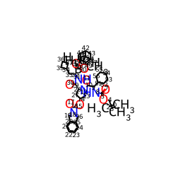 CC(C)(C)COC(=O)N[C@H](C(=O)N1C[C@H](OC(=O)N2Cc3ccccc3C2)C[C@H]1C(=O)N[C@@H](CC1CCC1)B1OC2CC3C[C@@H](C3(C)C)[C@]2(C)O1)C1CCCCC1